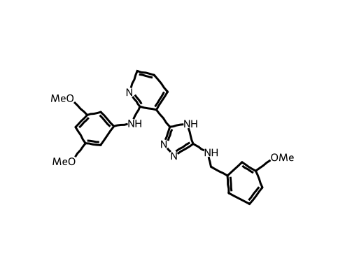 COc1cccc(CNc2nnc(-c3cccnc3Nc3cc(OC)cc(OC)c3)[nH]2)c1